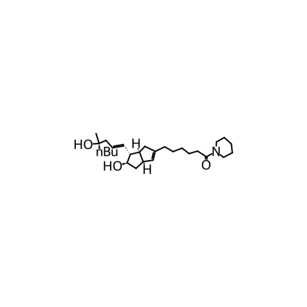 CCCC[C@](C)(O)C/C=C/[C@@H]1[C@H]2CC(CCCCCC(=O)N3CCCCC3)=C[C@H]2C[C@H]1O